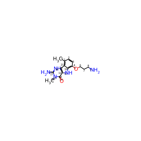 Cc1ccc(OCCCN)c2[nH]c(C(=O)N(C)C(=N)N)cc12